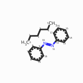 CCCCCC.c1ccc(/N=N/c2ccccc2)cc1